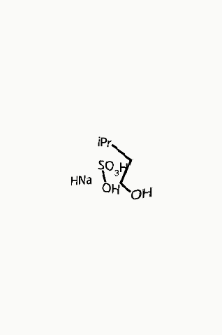 CC(C)CCO.O=S(=O)(O)O.[NaH]